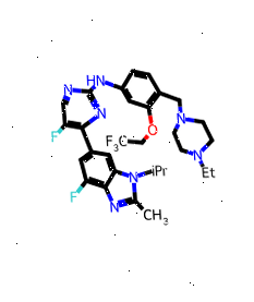 CCN1CCN(Cc2ccc(Nc3ncc(F)c(-c4cc(F)c5nc(C)n(C(C)C)c5c4)n3)cc2OCC(F)(F)F)CC1